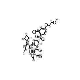 COCCOc1ccc(S(=O)(=O)[C@@H]2C[C@@H](C(=O)NC3(C#N)CC3)N(c3cc(C)nn3C3CCC3)C2)c(Cl)c1